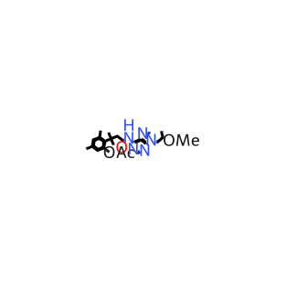 [CH2]O[C@H](C)Cn1cnc2c(NC(=O)CC(C)(C)c3c(C)cc(C)cc3OC(C)=O)ncnc21